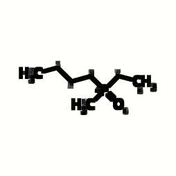 CCCCP(C)(=O)CC